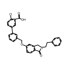 O=C(O)c1cc(-c2cccc(COc3ccc4c(c3)CN(CCc3ccccc3)C4=O)c2)ccc1Cl